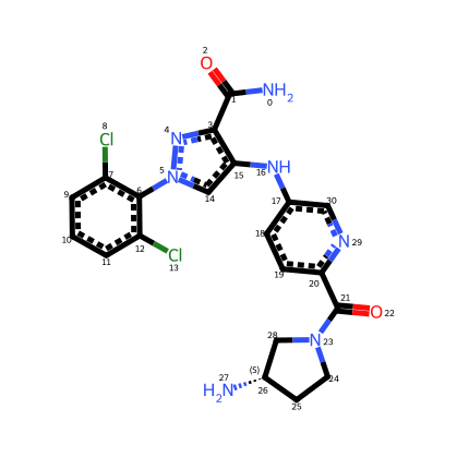 NC(=O)c1nn(-c2c(Cl)cccc2Cl)cc1Nc1ccc(C(=O)N2CC[C@H](N)C2)nc1